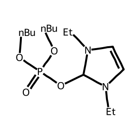 CCCCOP(=O)(OCCCC)OC1N(CC)C=CN1CC